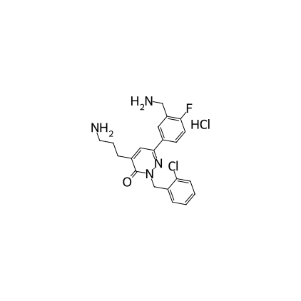 Cl.NCCCc1cc(-c2ccc(F)c(CN)c2)nn(Cc2ccccc2Cl)c1=O